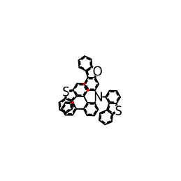 c1ccc(-c2cccc(N(c3ccc4c(c3)oc3ccccc34)c3cccc4sc5ccccc5c34)c2-c2cccc3sc4ccccc4c23)cc1